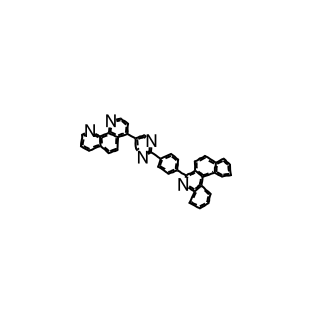 c1ccc2c(c1)ccc1c(-c3ccc(-c4ncc(-c5ccnc6c5ccc5cccnc56)cn4)cc3)nc3ccccc3c12